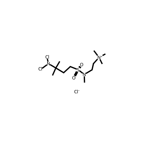 CN(CC[N+](C)(C)C)S(=O)(=O)CCC(C)(C)N(Cl)Cl.[Cl-]